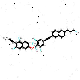 FCCCc1ccc2cc(C#Cc3cc(F)c(C(F)(F)Oc4ccc5c(F)c(C#CC(F)(F)F)c(F)cc5c4)c(F)c3)ccc2c1